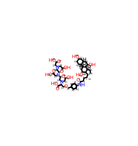 C[C@H](CCC(=O)Nc1ccc(COCC(C(=O)O)N(CCN(CCN(CC(=O)O)CC(=O)O)CC(=O)O)CC(=O)O)cc1)[C@H]1CC[C@H]2[C@@H]3[C@H](O)C[C@@H]4C[C@H](O)CC[C@]4(C)[C@H]3C[C@H](O)[C@]12C